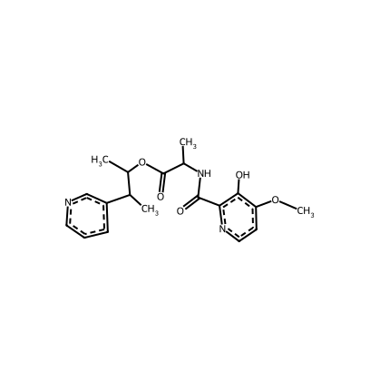 COc1ccnc(C(=O)NC(C)C(=O)OC(C)C(C)c2cccnc2)c1O